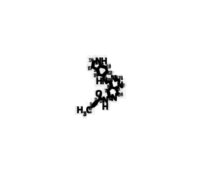 CC#CC(=O)Nc1cc2c(Nc3ccc4[nH]ccc4c3)ncnc2cn1